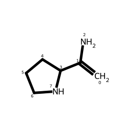 C=C(N)C1CCCN1